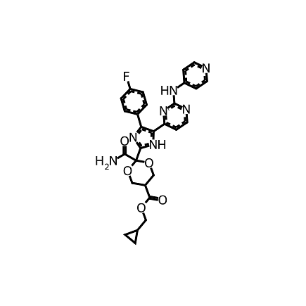 NC(=O)C1(c2nc(-c3ccc(F)cc3)c(-c3ccnc(Nc4ccncc4)n3)[nH]2)OCC(C(=O)OCC2CC2)CO1